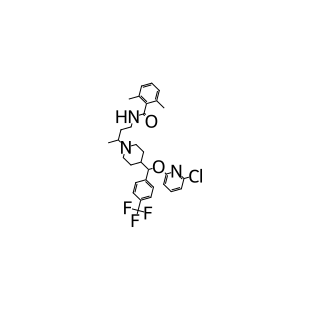 Cc1cccc(C)c1C(=O)NCCC(C)N1CCC(C(Oc2cccc(Cl)n2)c2ccc(C(F)(F)F)cc2)CC1